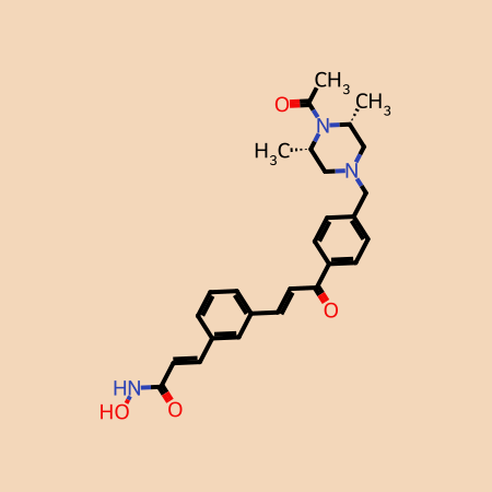 CC(=O)N1[C@H](C)CN(Cc2ccc(C(=O)/C=C/c3cccc(/C=C/C(=O)NO)c3)cc2)C[C@@H]1C